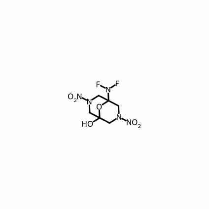 O=[N+]([O-])N1CC2(O)CN([N+](=O)[O-])CC(N(F)F)(C1)O2